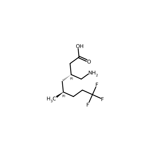 C[C@H](CCC(F)(F)F)C[C@@H](CN)CC(=O)O